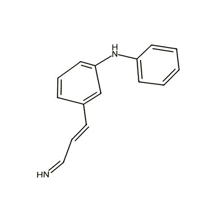 N=CC=Cc1cccc(Nc2ccccc2)c1